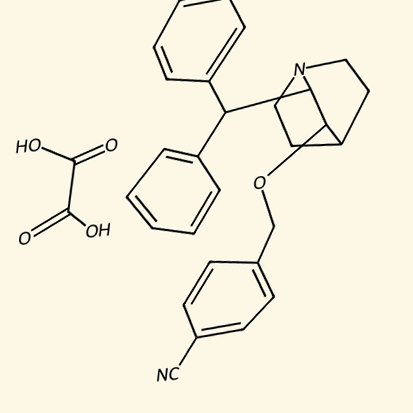 N#Cc1ccc(COC2C3CCN(CC3)C2C(c2ccccc2)c2ccccc2)cc1.O=C(O)C(=O)O